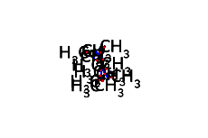 CC1=CC(N(c2ccc(C)cc2)c2ccc(C(C)(C)C)cc2)C(C)(C)C=C1c1ccc(N(c2ccc(C)cc2)c2ccc(C(C)(C)C)cc2)cc1C